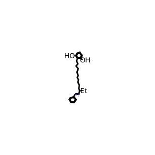 CCC(/C=C/c1ccccc1)CCCCCCCCCCCc1c(O)cccc1O